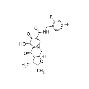 CC1O[C@@H]2Cn3cc(C(=O)NCc4ccc(F)cc4F)c(=O)c(O)c3C(=O)N2[C@H]1C